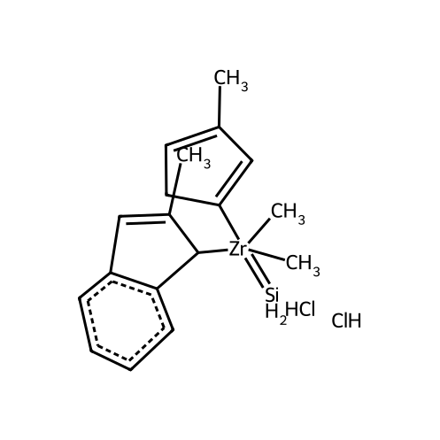 CC1=CC[C]([Zr]([CH3])([CH3])(=[SiH2])[CH]2C(C)=Cc3ccccc32)=C1.Cl.Cl